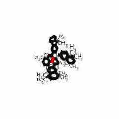 CC1(C)CCC(C)(C)c2cc(-c3ccc(N(c4ccc5c(c4)C(C)(C)CCC5(C)C)c4cc5c(cc4-c4ccc6c(c4)C(C)(C)CCC6(C)C)-c4ccccc4C5(C)C)cc3)ccc21